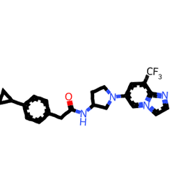 O=C(Cc1ccc(C2CC2)cc1)NC1CCN(c2cc(C(F)(F)F)c3nccn3c2)C1